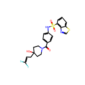 O=C(c1ccc(NS(=O)(=O)c2cccc3scnc23)cc1)N1CCC(O)(CC=C(F)F)CC1